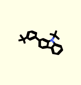 CC(C)(C)c1cccc(-c2ccc3c4ccccc4n(C(C)(C)C)c3c2)c1